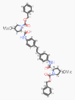 CO[C@@H]1C[C@@H](C(=O)Nc2ccc(/C=C/c3ccc(NC(=O)[C@@H]4C[C@H](OC)CN4C(=O)OCc4ccccc4)cc3)cc2)N(C(=O)OCc2ccccc2)C1